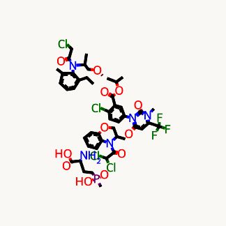 CC(C)OC(=O)c1cc(-n2c(=O)cc(C(F)(F)F)n(C)c2=O)ccc1Cl.CC1COc2ccccc2N1C(=O)C(Cl)Cl.CCc1cccc(C)c1N(C(=O)CCl)C(C)COC.CP(=O)(O)CCC(N)C(=O)O